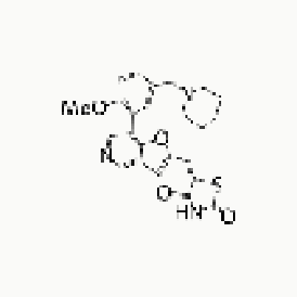 COc1ccc(CN2CCCCC2)cc1-c1cncc2cc(/C=C3/SC(=O)NC3=O)oc12